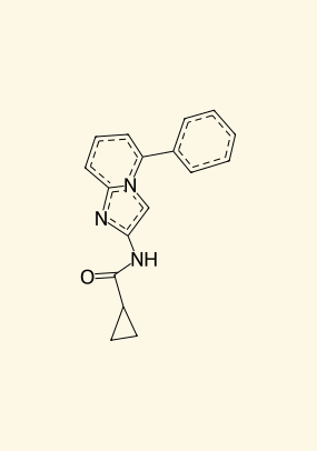 O=C(Nc1cn2c(-c3ccccc3)cccc2n1)C1CC1